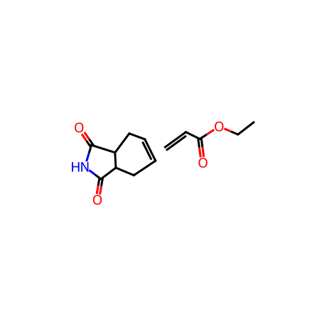 C=CC(=O)OCC.O=C1NC(=O)C2CC=CCC12